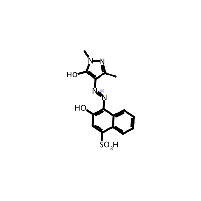 Cc1nn(C)c(O)c1/N=N/c1c(O)cc(S(=O)(=O)O)c2ccccc12